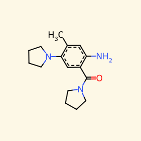 Cc1cc(N)c(C(=O)N2CCCC2)cc1N1CCCC1